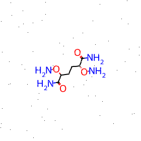 NOC(CCC(ON)C(N)=O)C(N)=O